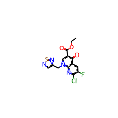 CCOC(=O)c1cn(Cc2cnsn2)c2nc(Cl)c(F)cc2c1=O